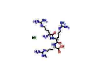 NC(N)=NCCC[C@H](NC(=O)[C@H](CCCN=C(N)N)NC(=O)[C@@H](N)CCCN=C(N)N)C(=O)O.[Cl-].[H+]